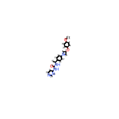 CCOc1ccc(OC2CN(c3ccc(C(C)NC(=O)Nc4ccncn4)cc3)C2)cc1